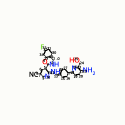 C[C@H](NC(=O)c1cc(C#N)cnc1NCc1ccc(-c2ccc(N)c(CO)n2)cc1)c1ccc(F)cc1